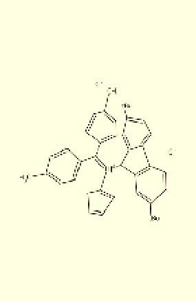 Cc1ccc([C](c2ccc(C)cc2)=[Hf+2]([C]2=CC=CC2)[CH]2c3cc(C(C)(C)C)ccc3-c3ccc(C(C)(C)C)cc32)cc1.[Cl-].[Cl-]